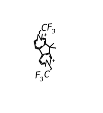 CC1(C)c2c[n+](CC(F)(F)F)ccc2-c2cc[n+](CC(F)(F)F)cc21